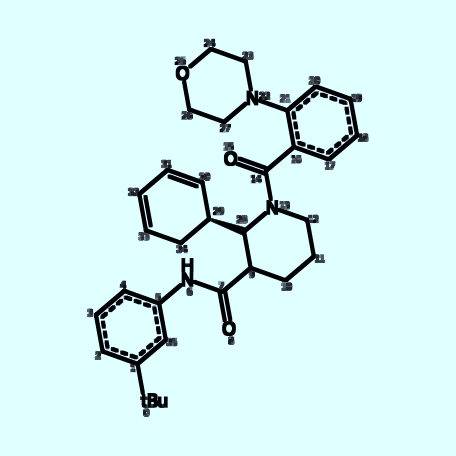 CC(C)(C)c1cccc(NC(=O)C2CCCN(C(=O)c3ccccc3N3CCOCC3)C2[C@@H]2C=CC=CC2)c1